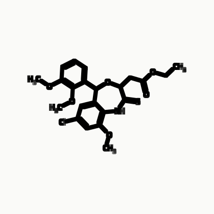 CCOC(=O)CC1OC(c2cccc(OC)c2OC)c2cc(Cl)cc(OC)c2NC1=S